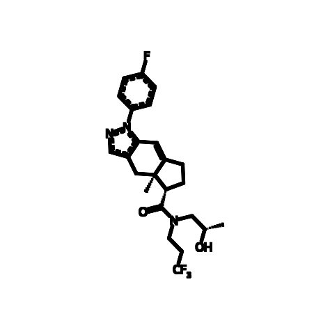 C[C@H](O)CN(CCC(F)(F)F)C(=O)[C@H]1CCC2=Cc3c(cnn3-c3ccc(F)cc3)C[C@@]21C